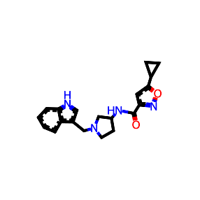 O=C(NC1CCN(Cc2c[nH]c3ccccc23)C1)c1cc(C2CC2)on1